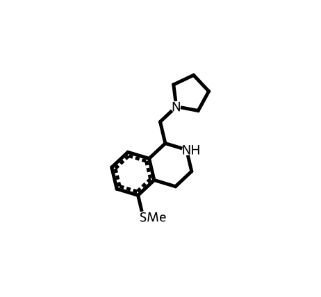 CSc1cccc2c1CCNC2CN1CCCC1